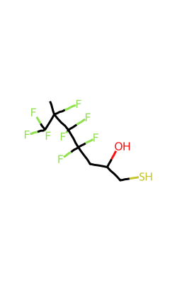 CC(F)(C(F)(F)F)C(F)(F)C(F)(F)CC(O)CS